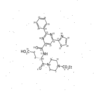 CCOC(=O)N1CCN(C(=O)[C@H](CCC(=O)O)NC(=O)c2cc(-c3nccs3)nc(-c3ccccc3)n2)CC1